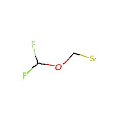 FC(F)OC[S]